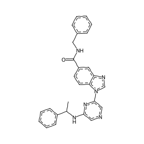 CC(Nc1cncc(-n2cnc3cc(C(=O)NCc4ccccc4)ccc32)n1)c1ccccc1